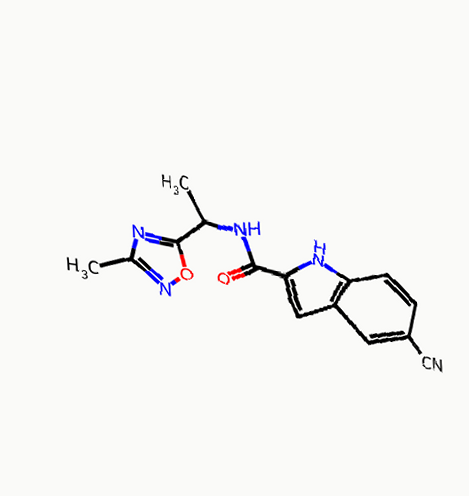 Cc1noc(C(C)NC(=O)c2cc3cc(C#N)ccc3[nH]2)n1